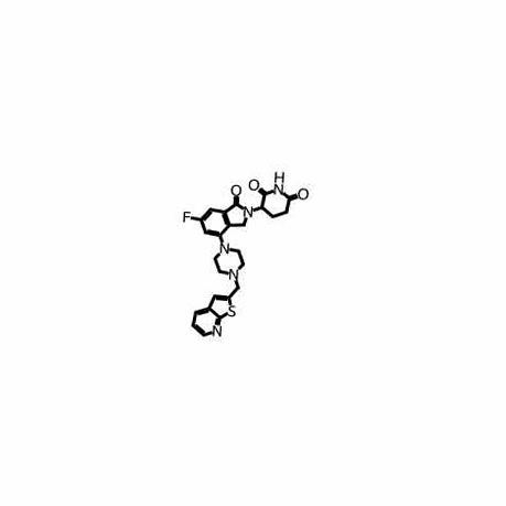 O=C1CCC(N2Cc3c(cc(F)cc3N3CCN(Cc4cc5cccnc5s4)CC3)C2=O)C(=O)N1